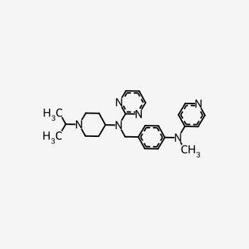 CC(C)N1CCC(N(Cc2ccc(N(C)c3ccncc3)cc2)c2ncccn2)CC1